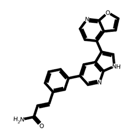 NC(=O)C=Cc1cccc(-c2cnc3[nH]cc(-c4ccnc5occc45)c3c2)c1